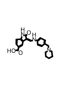 O=C1Nc2ccc(C(=O)O)cc2/C1=C/Nc1ccc(CN2CCCCC2)cc1